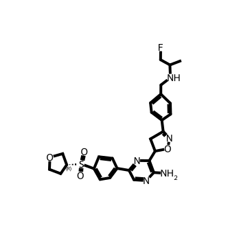 CC(CF)NCc1ccc(C2=NOC(c3nc(-c4ccc(S(=O)(=O)[C@@H]5CCOC5)cc4)cnc3N)C2)cc1